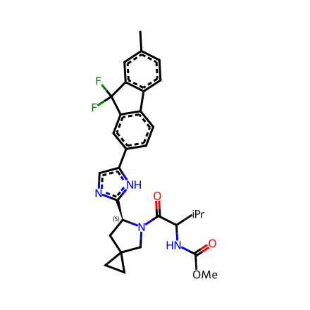 COC(=O)NC(C(=O)N1CC2(CC2)C[C@H]1c1ncc(-c2ccc3c(c2)C(F)(F)c2cc(C)ccc2-3)[nH]1)C(C)C